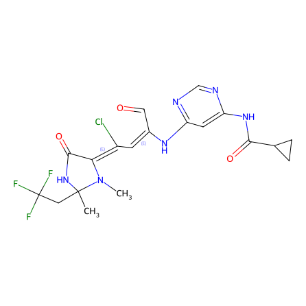 CN1/C(=C(Cl)\C=C(/C=O)Nc2cc(NC(=O)C3CC3)ncn2)C(=O)NC1(C)CC(F)(F)F